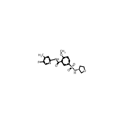 COc1ccc(S(=O)(=O)N[C@H]2CCOC2)cc1C(=O)Nc1cc(C)c(F)cn1